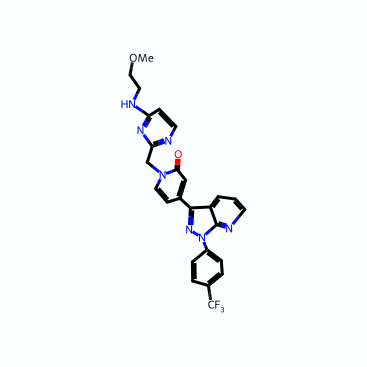 COCCNc1ccnc(Cn2ccc(-c3nn(-c4ccc(C(F)(F)F)cc4)c4ncccc34)cc2=O)n1